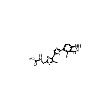 COC(=O)NCc1nc(C)c(-c2csc(-c3ccc4[nH]nnc4c3F)n2)s1